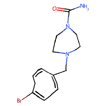 NC(=O)N1CCN(Cc2ccc(Br)cc2)CC1